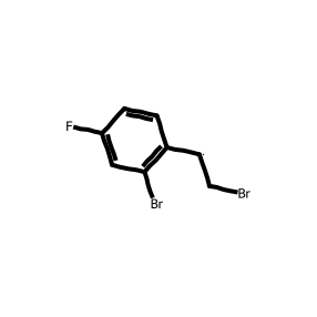 Fc1ccc([CH]CBr)c(Br)c1